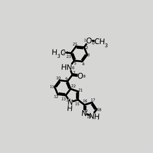 COc1ccc(NC(=O)c2cccc3[nH]c(-c4cc[nH]n4)cc23)c(C)c1